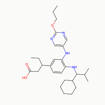 CCCOc1ncc(Nc2cc(C(CC)CC(=O)O)ccc2NC(C(C)C)C2CCCCC2)cn1